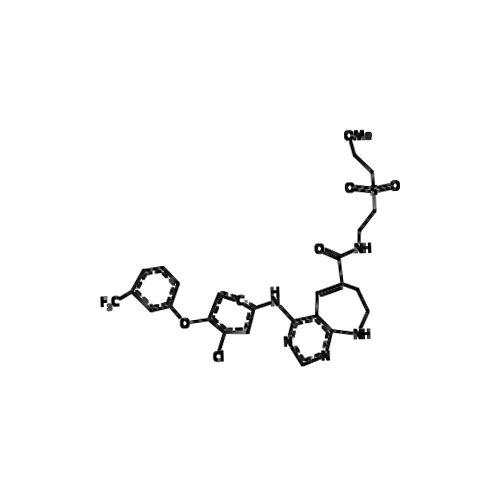 COCCS(=O)(=O)CCNC(=O)C1=Cc2c(ncnc2Nc2ccc(Oc3cccc(C(F)(F)F)c3)c(Cl)c2)NCC1